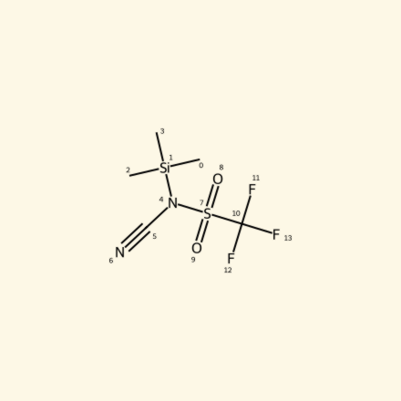 C[Si](C)(C)N(C#N)S(=O)(=O)C(F)(F)F